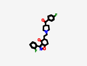 O=C(c1ccc(F)cc1)C1CCN(CCC2CCc3onc(-c4ccccc4F)c3C2=O)CC1